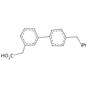 CC(C)Cc1ccc(-c2cccc(CC(=O)O)c2)cc1